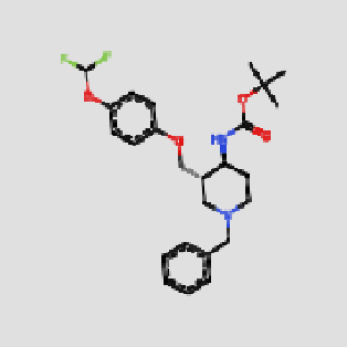 CC(C)(C)OC(=O)N[C@H]1CCN(Cc2ccccc2)C[C@@H]1COc1ccc(OC(F)F)cc1